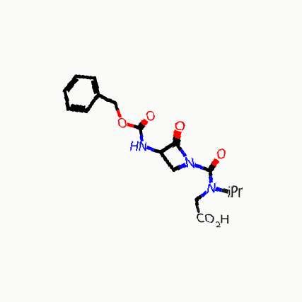 CC(C)N(CC(=O)O)C(=O)N1CC(NC(=O)OCc2ccccc2)C1=O